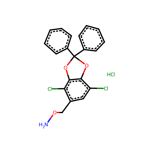 Cl.NOCc1cc(Cl)c2c(c1Cl)OC(c1ccccc1)(c1ccccc1)O2